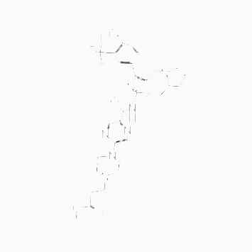 CCOC(=O)CCN1CCN(c2cnc(C(O)Nc3nc(-c4ccc(Cl)c(C(F)(F)F)c4)c(CN4CCC[C@H]4C)s3)cn2)CC1